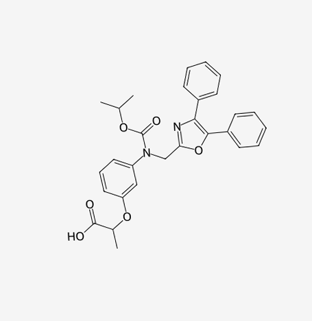 CC(C)OC(=O)N(Cc1nc(-c2ccccc2)c(-c2ccccc2)o1)c1cccc(OC(C)C(=O)O)c1